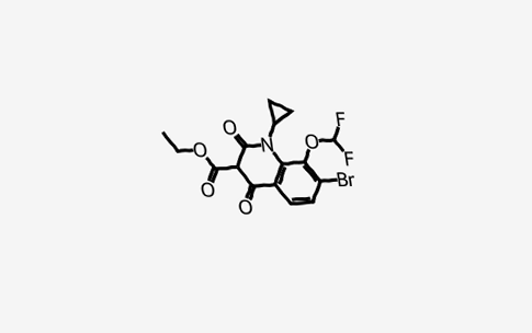 CCOC(=O)C1C(=O)c2ccc(Br)c(OC(F)F)c2N(C2CC2)C1=O